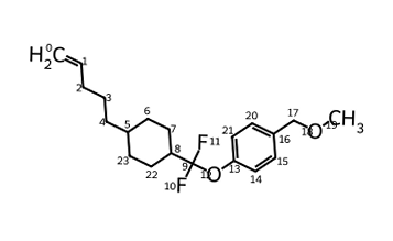 C=CCCCC1CCC(C(F)(F)Oc2ccc(COC)cc2)CC1